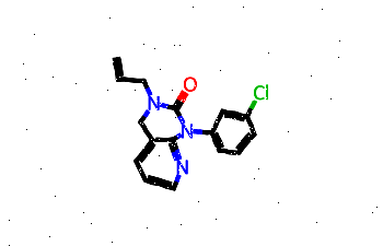 C=CCN1Cc2cccnc2N(c2cccc(Cl)c2)C1=O